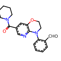 O=Cc1ccccc1N1CCOc2cc(C(=O)N3CCCCC3)cnc21